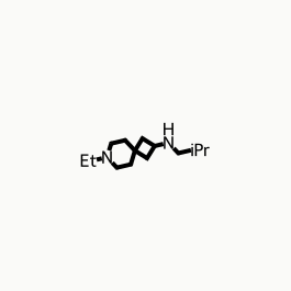 CCN1CCC2(CC1)CC(NCC(C)C)C2